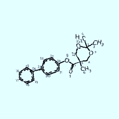 CC1(C)OCC(C)(C(=O)Oc2ccc(-c3ccccc3)cc2)CO1